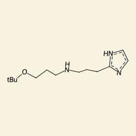 CC(C)(C)OCCCNCCCc1ncc[nH]1